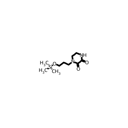 C[Si](C)(C)OCCCN1CCNC(=O)C1=O